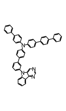 c1ccc(-c2ccc(-c3ccc(N(c4ccc(-c5ccccc5)cc4)c4ccc(-c5cccc(-n6c7ccccc7c7ncncc76)c5)cc4)cc3)cc2)cc1